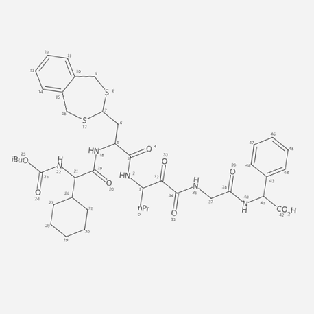 CCCC(NC(=O)C(CC1SCc2ccccc2CS1)NC(=O)C(NC(=O)OCC(C)C)C1CCCCC1)C(=O)C(=O)NCC(=O)NC(C(=O)O)c1ccccc1